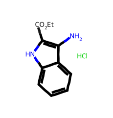 CCOC(=O)c1[nH]c2ccccc2c1N.Cl